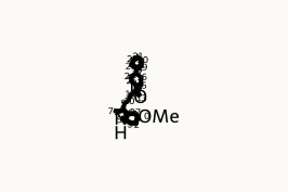 COc1ccc2[nH]c(C)c(CCCC(=O)N3CCC(c4ccccc4)CC3)c2c1